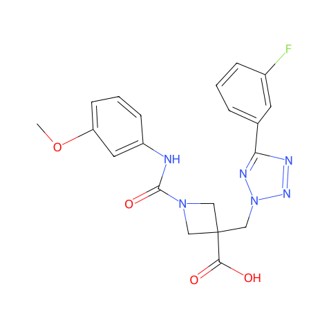 COc1cccc(NC(=O)N2CC(Cn3nnc(-c4cccc(F)c4)n3)(C(=O)O)C2)c1